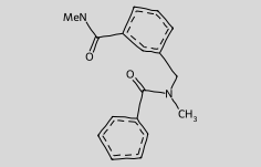 CNC(=O)c1cccc(CN(C)C(=O)c2ccccc2)c1